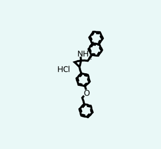 Cl.NC1(Cc2ccc3ccccc3c2)CC1c1ccc(OCc2ccccc2)cc1